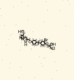 CC(C)(c1ccc(OC[C@H](O)Cn2nncc2CO)cc1)c1ccc(OC[C@H](O)CCl)c(Br)c1